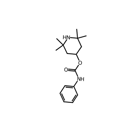 CC1(C)CC(OC(=O)Nc2ccccc2)CC(C)(C)N1